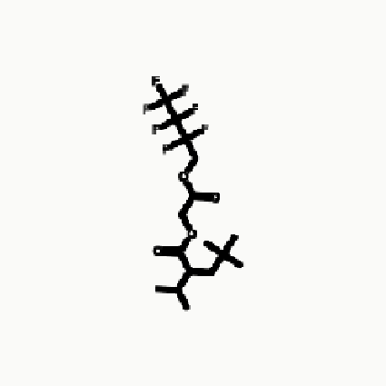 CC(C)C(CC(C)(C)C)C(=O)OCC(=O)OCC(F)(F)C(F)(F)C(F)(F)F